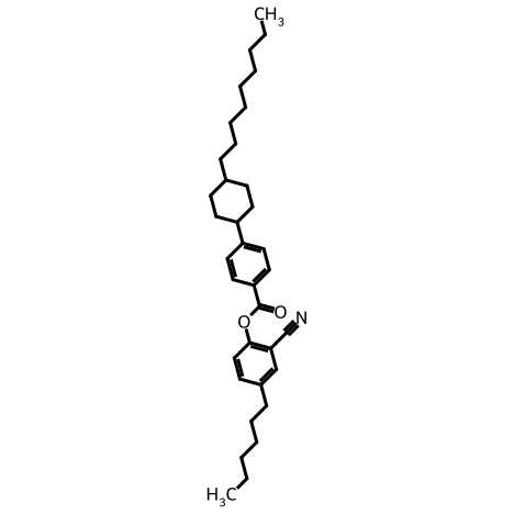 CCCCCCCCCC1CCC(c2ccc(C(=O)Oc3ccc(CCCCCC)cc3C#N)cc2)CC1